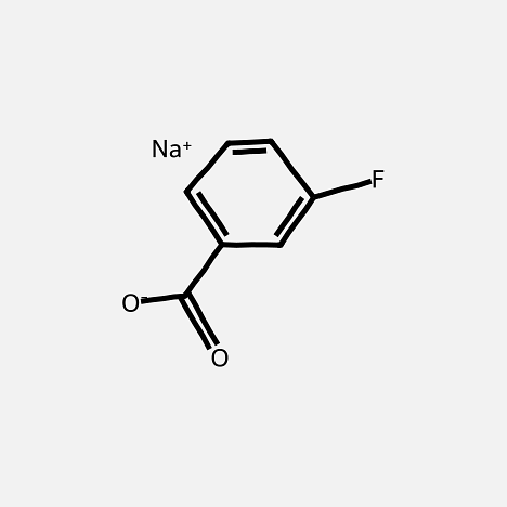 O=C([O-])c1cccc(F)c1.[Na+]